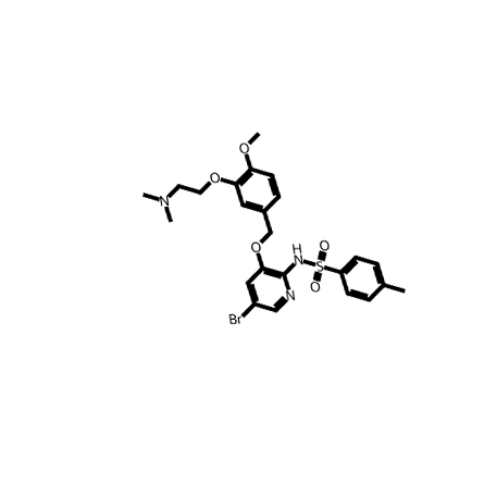 COc1ccc(COc2cc(Br)cnc2NS(=O)(=O)c2ccc(C)cc2)cc1OCCN(C)C